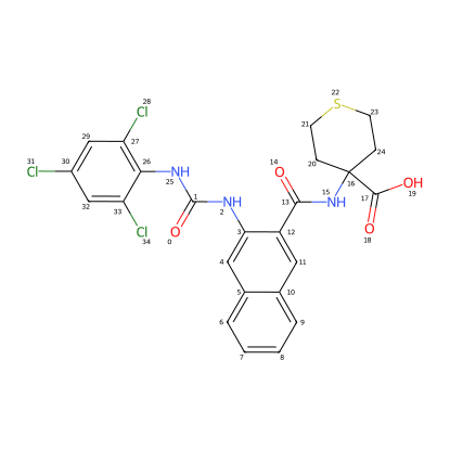 O=C(Nc1cc2ccccc2cc1C(=O)NC1(C(=O)O)CCSCC1)Nc1c(Cl)cc(Cl)cc1Cl